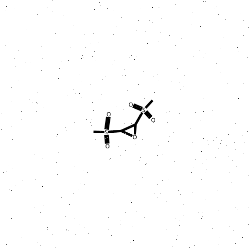 CS(=O)(=O)C1OC1S(C)(=O)=O